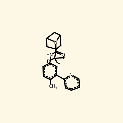 Cc1ccc(NC(=O)N2C3CC2CC(C(F)(F)F)C3)cc1-c1ccccn1